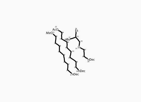 CCCCCCCCCCCCCCCCCCOC.CCCCCCCCCCCCCCCCCCOC(C)=O.CCCCCCCCCCCCOCC(CC)CCCC